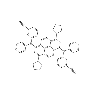 [C-]#[N+]c1cccc(N(c2ccccc2)c2cc(C3CCCC3)c3ccc4c(N(c5ccccc5)c5cccc(C#N)c5)cc(C5CCCC5)c5ccc2c3c54)c1